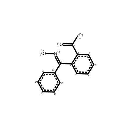 CCCC(=O)c1ccccc1C(=NO)c1ccccc1